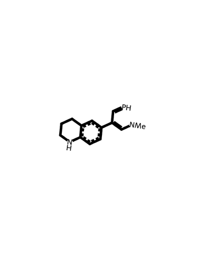 CN/C=C(\C=P)c1ccc2c(c1)CCCN2